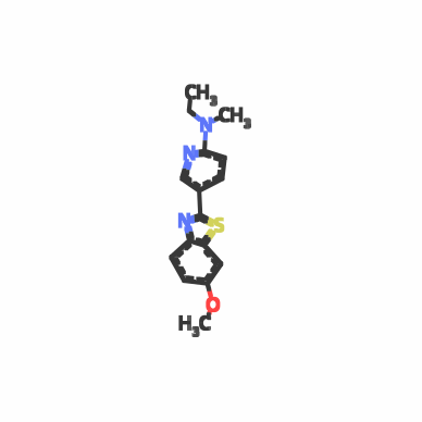 CCN(C)c1ccc(-c2nc3ccc(OC)cc3s2)cn1